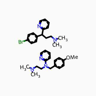 CN(C)CCC(c1ccc(Br)cc1)c1ccccn1.COc1ccc(CN(CCN(C)C)c2ccccn2)cc1